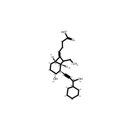 CCC1C(=CCCC(=O)O)[C@H]2CC[C@@H](O)[C@H](C#CC(O)C3CCCCC3)[C@@H]12